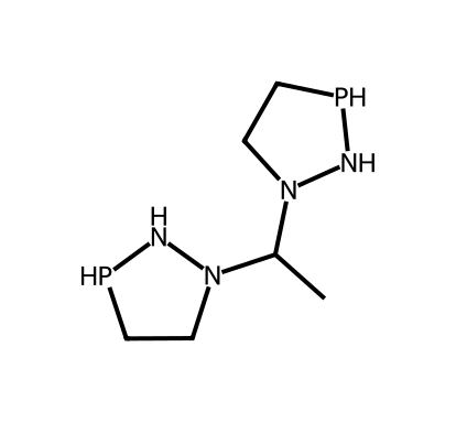 CC(N1CCPN1)N1CCPN1